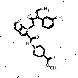 CCN(C(=O)Cn1c(C(=O)NC2CCC(C(=O)OC)CC2)cc2ccsc21)c1cccc(C)c1